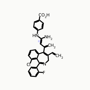 C=CC1=C(C(=C)/C=C(\N)Nc2ccc(C(=O)O)cc2)c2cccc(Cl)c2C(c2ccccc2F)=NC1